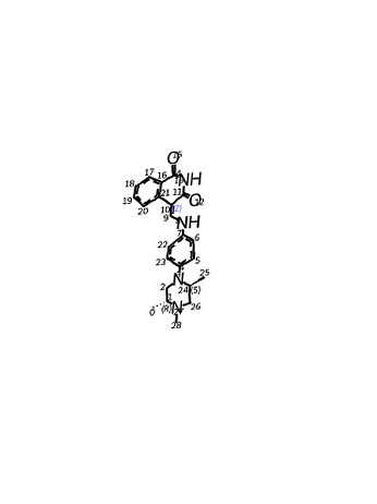 C[C@@H]1CN(c2ccc(N/C=C3\C(=O)NC(=O)c4ccccc43)cc2)[C@@H](C)CN1C